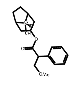 COCC(C(=O)OC1CC2CCC(C1)[N+]2(C)C(C)C)c1ccccc1